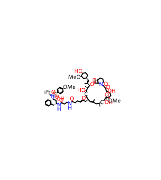 COc1ccc(S(=O)(=O)N(CC(C)C)C[C@H](O)[C@@H](Cc2ccccc2)NC(=O)CCNC(=O)CC/C=C/C[C@@H]2/C=C(\C)C[C@H](C)C[C@H](O)[C@H]3O[C@@](O)(C(=O)C(=O)N4CCCC[C@H]4C(=O)O[C@H](/C(C)=C/[C@@H]4CC[C@@H](O)[C@H](OC)C4)[C@H](C)[C@@H](O)CC2=O)[C@H](C)C[C@@H]3OC)cc1